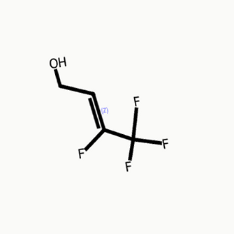 OC/C=C(\F)C(F)(F)F